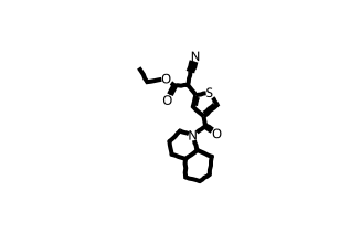 CCOC(=O)C(C#N)c1cc(C(=O)N2CCCC3CCCCC32)cs1